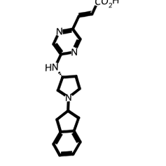 O=C(O)C=Cc1cnc(N[C@@H]2CCN(C3Cc4ccccc4C3)C2)cn1